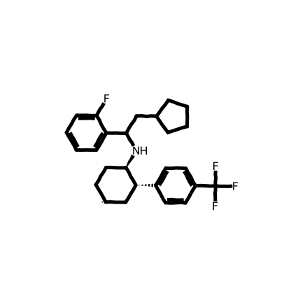 Fc1ccccc1C(CC1CCCC1)N[C@@H]1CC[CH]C[C@H]1c1ccc(C(F)(F)F)cc1